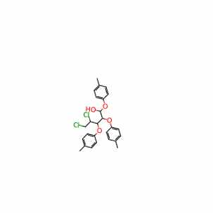 Cc1ccc(OC(O)C(Oc2ccc(C)cc2)C(Oc2ccc(C)cc2)C(Cl)CCl)cc1